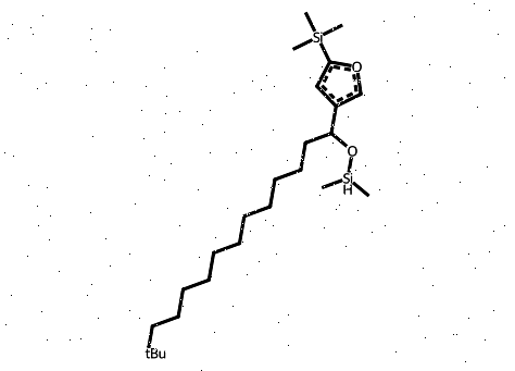 C[SiH](C)OC(CCCCCCCCCCCC(C)(C)C)c1coc([Si](C)(C)C)c1